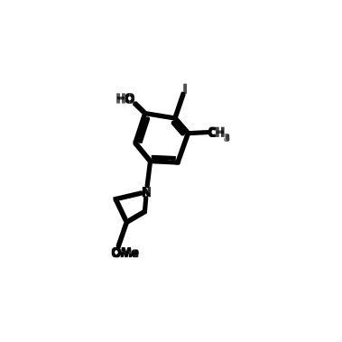 COC1CN(c2cc(C)c(I)c(O)c2)C1